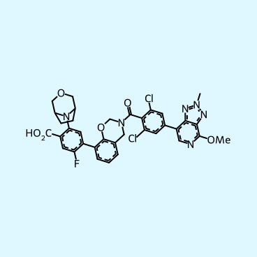 COc1ncc(-c2cc(Cl)c(C(=O)N3COc4c(cccc4-c4cc(N5C6CCC5COC6)c(C(=O)O)cc4F)C3)c(Cl)c2)c2nn(C)nc12